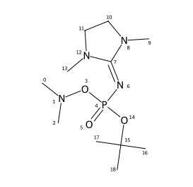 CN(C)OP(=O)(N=C1N(C)CCN1C)OC(C)(C)C